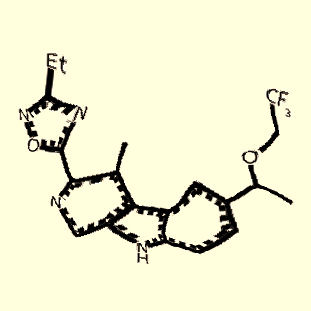 CCc1noc(-c2ncc3[nH]c4ccc(C(C)OCC(F)(F)F)cc4c3c2C)n1